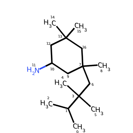 CC(C)C(C)(C)CC1(C)CC(N)CC(C)(C)C1